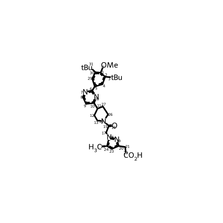 COc1c(C(C)(C)C)cc(-c2nccc(C3CCN(C(=O)Cn4nc(CC(=O)O)cc4C)CC3)n2)cc1C(C)(C)C